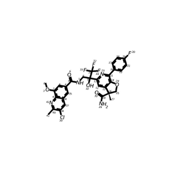 COc1cc(C(=O)NCC(O)(c2cc3c(c(-c4ccc(F)cc4)n2)OC[C@]3(C)C(N)=O)C(F)(F)F)cc2cc(Cl)c(C)nc12